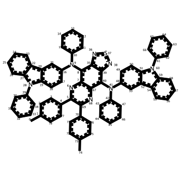 Cc1ccc(-c2nc3c(N(c4ccccc4)c4ccc5c(c4)c4ccccc4n5-c4ccccc4)c4nsnc4c(N(c4ccccc4)c4ccc5c(c4)c4ccccc4n5-c4ccccc4)c3nc2-c2ccc(C)cc2)cc1